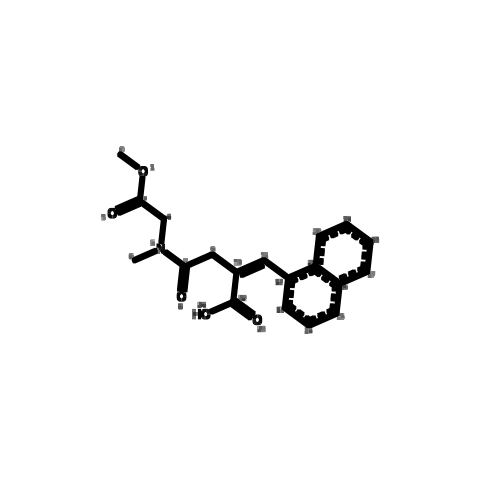 COC(=O)CN(C)C(=O)CC(=Cc1cccc2ccccc12)C(=O)O